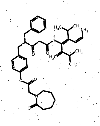 C=C(/C(NC(=O)CC(=O)C(Cc1ccccc1)Cc1ccc(OC(=O)CN2CCCCCC2=O)cc1)=C(\C=C/C)C(C)C)C(C)C